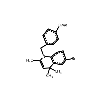 COc1ccc(CN2C(C)=CC(C)(C)c3cc(Br)ccc32)cc1